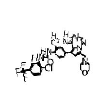 Cc1cc(-c2cc(CN3CCOCC3)n3ncnc(N)c23)ccc1NC(=O)Nc1cc(C(F)(F)F)ccc1Cl